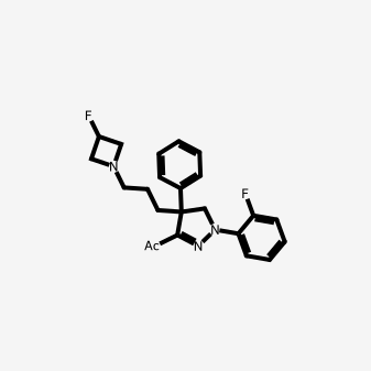 CC(=O)C1=NN(c2ccccc2F)CC1(CCCN1CC(F)C1)c1ccccc1